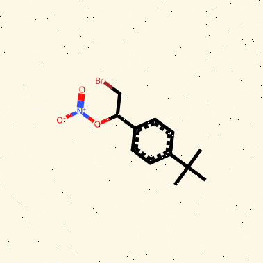 CC(C)(C)c1ccc(C(CBr)O[N+](=O)[O-])cc1